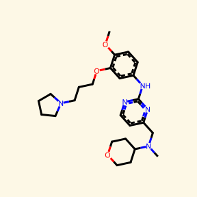 COc1ccc(Nc2nccc(CN(C)C3CCOCC3)n2)cc1OCCCN1CCCC1